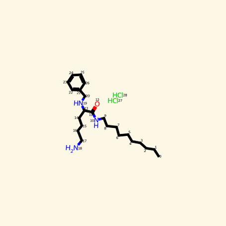 CCCCCCCCCCNC(=O)C(CCCCN)NCc1ccccc1.Cl.Cl